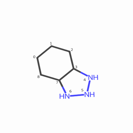 C1CCC2NNNC2C1